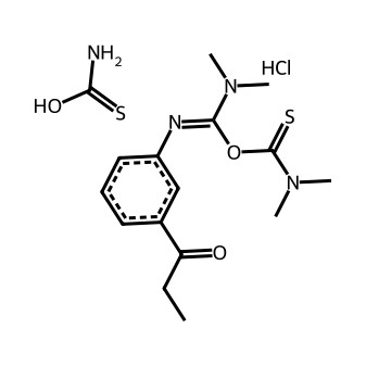 CCC(=O)c1cccc(N=C(OC(=S)N(C)C)N(C)C)c1.Cl.NC(O)=S